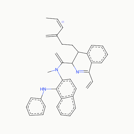 C=CC1=NC(C(=C)N(C)c2ccc3ccccc3c2Nc2ccccc2)C(CCC(=C)/C=C\C)c2ccccc21